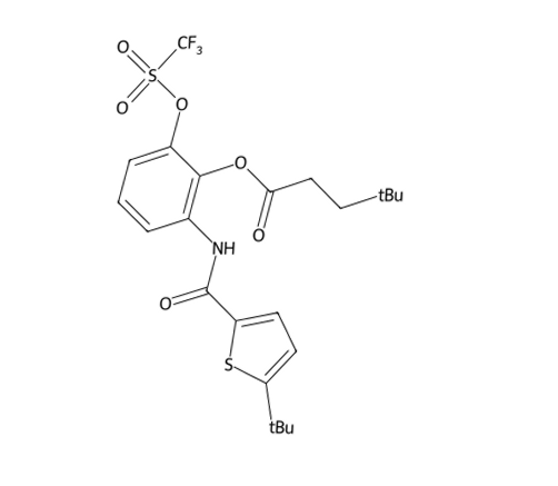 CC(C)(C)CCC(=O)Oc1c(NC(=O)c2ccc(C(C)(C)C)s2)cccc1OS(=O)(=O)C(F)(F)F